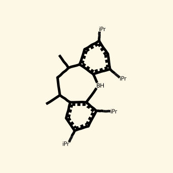 CC(C)c1cc(C(C)C)c2c(c1)C(C)CC(C)c1cc(C(C)C)cc(C(C)C)c1B2